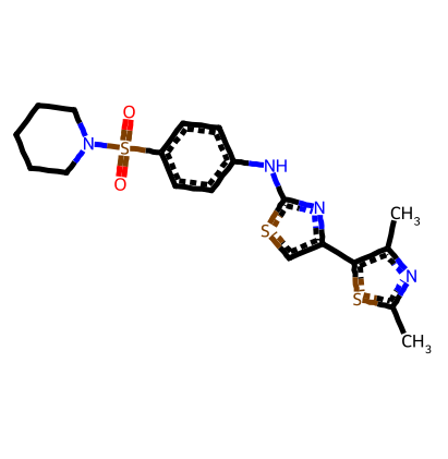 Cc1nc(C)c(-c2csc(Nc3ccc(S(=O)(=O)N4CCCCC4)cc3)n2)s1